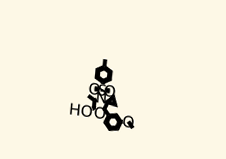 COc1cccc(CC2(N(C(C)C(=O)O)S(=O)(=O)c3ccc(C)cc3)CC2)c1